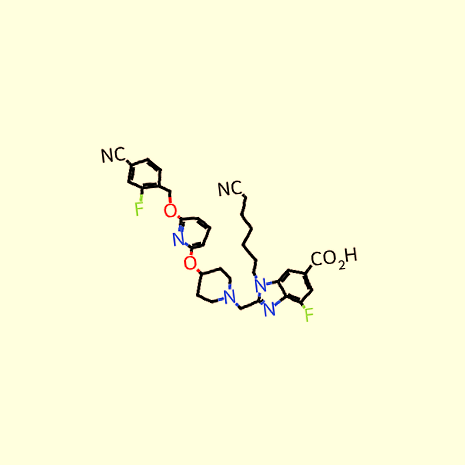 N#CCCCCCCn1c(CN2CCC(Oc3cccc(OCc4ccc(C#N)cc4F)n3)CC2)nc2c(F)cc(C(=O)O)cc21